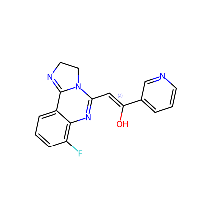 O/C(=C\C1=Nc2c(F)cccc2C2=NCCN12)c1cccnc1